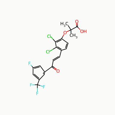 CC(C)(Oc1ccc(C=CC(=O)c2cc(F)cc(C(F)(F)F)c2)c(Cl)c1Cl)C(=O)O